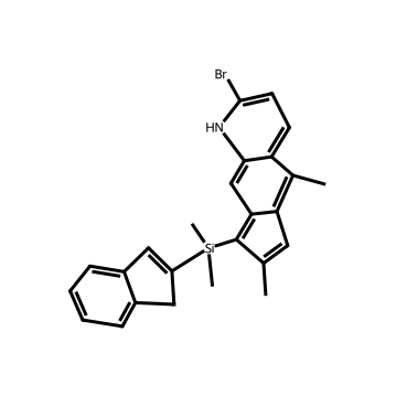 Cc1cc2c(C)c3ccc(Br)[nH]c3cc2c1[Si](C)(C)C1=Cc2ccccc2C1